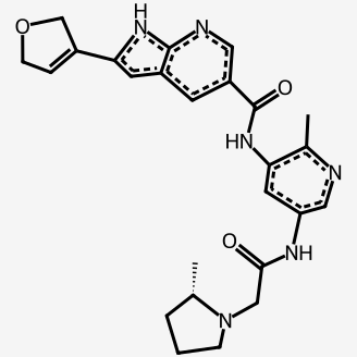 Cc1ncc(NC(=O)CN2CCC[C@@H]2C)cc1NC(=O)c1cnc2[nH]c(C3=CCOC3)cc2c1